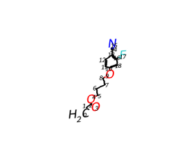 C=CC(=O)OCCCCOc1ccc(C#N)c(F)c1